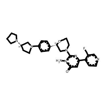 Nn1c(N2CCO[C@@H](c3ccc(N4CC[C@H](N5CCCC5)C4)cc3)C2)nc(-c2ccncc2F)cc1=O